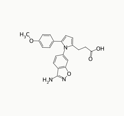 COc1ccc(-c2ccc(CCC(=O)O)n2-c2ccc3c(N)noc3c2)cc1